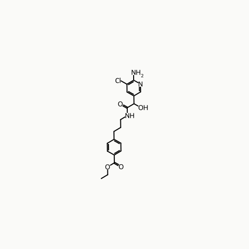 CCOC(=O)c1ccc(CCCNC(=O)C(O)c2cnc(N)c(Cl)c2)cc1